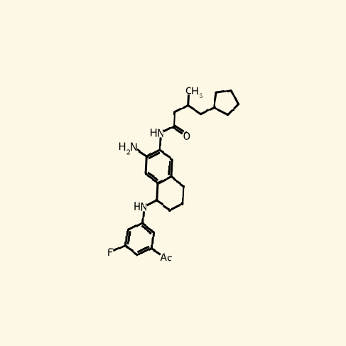 CC(=O)c1cc(F)cc(NC2CCCc3cc(NC(=O)CC(C)CC4CCCC4)c(N)cc32)c1